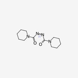 O=C(/N=N\C(=O)N1CCCCC1)N1CCCCC1